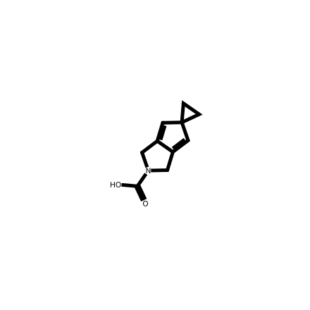 O=C(O)N1CC2=CC3(C=C2C1)CC3